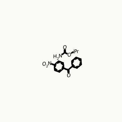 CC(C)OC(N)=O.O=C(c1ccccc1)c1ccc([N+](=O)[O-])cc1